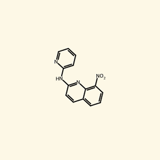 O=[N+]([O-])c1cccc2ccc(Nc3ccccn3)nc12